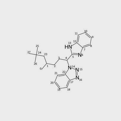 CC(CCC(c1nc2ccccc2[nH]1)n1nnc2ccccc21)CC(C)(C)C